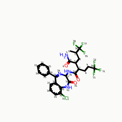 CC(CC(C(N)=O)C(CCC(F)(F)F)C(=O)NC1N=C(c2ccccc2)c2cccc(Cl)c2NC1=O)C(F)(F)F